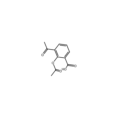 CC(=O)Oc1c(C(C)=O)cccc1C(=O)O